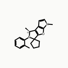 Cc1ccccc1N1[C@@H](C)c2c(oc3c2ccn3C)C12CCCC2